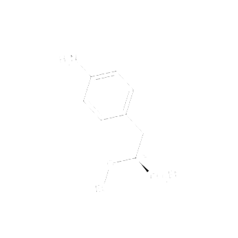 CCOC(=O)[C@H](Cc1ccc(N)cc1)OCC